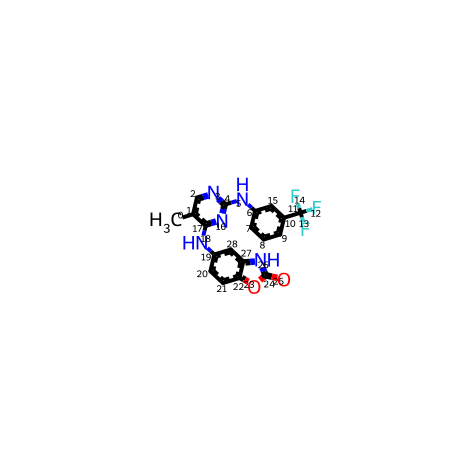 Cc1cnc(Nc2cccc(C(F)(F)F)c2)nc1Nc1ccc2oc(=O)[nH]c2c1